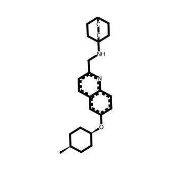 C[C@H]1CC[C@@H](Oc2ccc3nc(CNC45CCC(CC4)CC5)ccc3c2)CC1